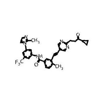 Cc1ccc(C(=O)Nc2cc(-n3ccnc3C)cc(C(F)(F)F)c2)cc1C#Cc1cnc(CCC(=O)C2CC2)nc1